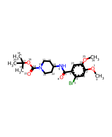 COc1cc(Br)c(C(=O)NC2CCN(C(=O)OC(C)(C)C)CC2)cc1OC